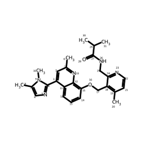 Cc1cc(-c2ncc(C)n2C)c2cccc(OCc3c(C)ccnc3CNC(=O)C(C)C)c2n1